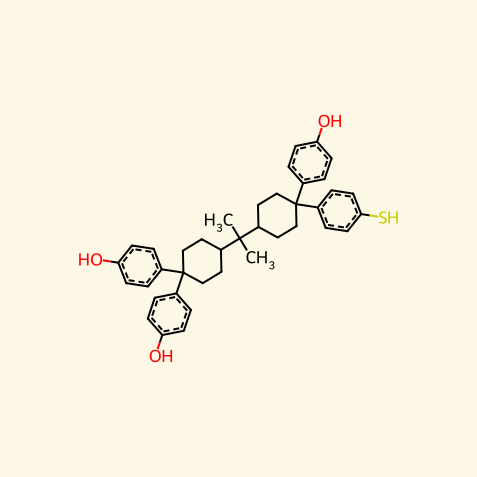 CC(C)(C1CCC(c2ccc(O)cc2)(c2ccc(O)cc2)CC1)C1CCC(c2ccc(O)cc2)(c2ccc(S)cc2)CC1